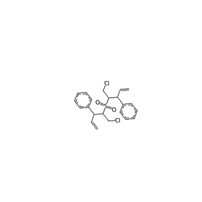 C=CC(c1ccccc1)C(CCl)S(=O)(=O)C(CCl)C(C=C)c1ccccc1